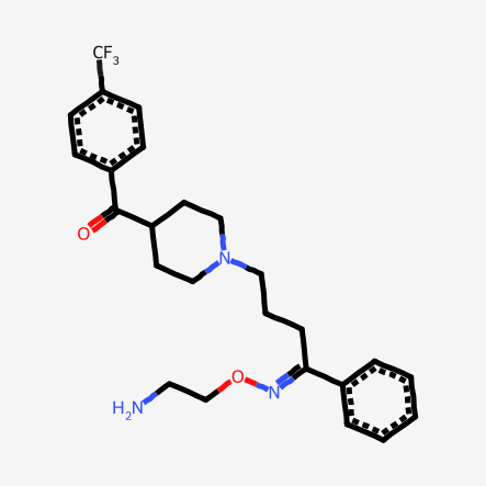 NCCON=C(CCCN1CCC(C(=O)c2ccc(C(F)(F)F)cc2)CC1)c1ccccc1